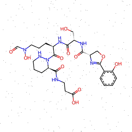 O=CN(O)CCC[C@@H](NC(=O)[C@H](CO)NC(=O)[C@@H]1COC(c2ccccc2O)=N1)C(=O)N1NCCC[C@@H]1C(=O)NCCC(=O)O